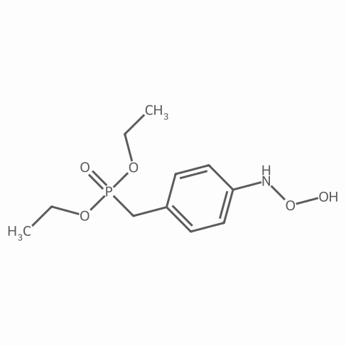 CCOP(=O)(Cc1ccc(NOO)cc1)OCC